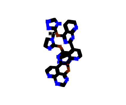 Cn1ccnc1Sc1nc(-c2ccnc3ncnc(Sc4ncc[nH]4)c23)nc2nccc(-c3nc(Sc4nnc[nH]4)c4cccnc4n3)c12